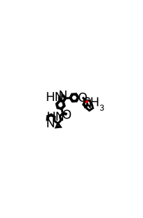 CN1C2CCC1CC(Oc1ccc(-c3n[nH]c4ccc(C(=O)NCC5(c6ccccn6)CC5)cc34)cc1)C2